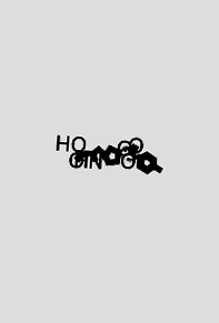 Cc1ccc(S(=O)(=O)O[C@H]2CCC3(CC(C(=O)O)N3)C2)cc1